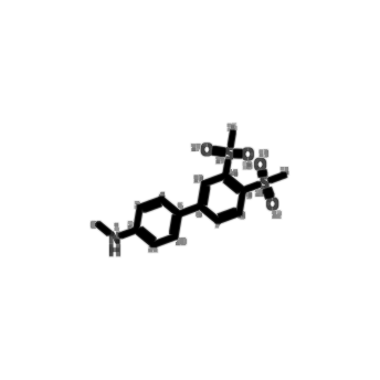 CNc1ccc(-c2c[c]c(S(C)(=O)=O)c(S(C)(=O)=O)c2)cc1